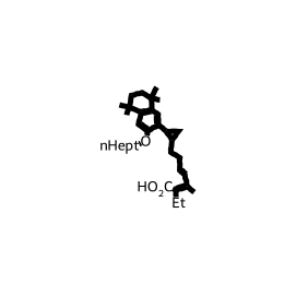 CCCCCCCOc1cc2c(cc1C1CC1CCC=CC(C)=C(CC)C(=O)O)C(C)(C)CCC2(C)C